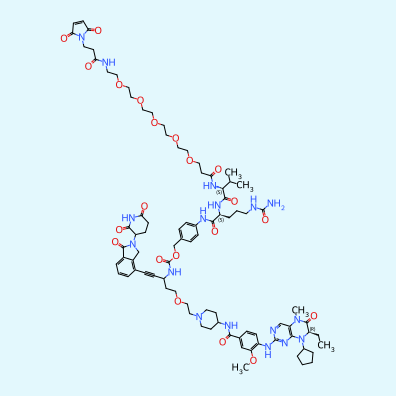 CC[C@@H]1C(=O)N(C)c2cnc(Nc3ccc(C(=O)NC4CCN(CCOCCC(C#Cc5cccc6c5CN(C5CCC(=O)NC5=O)C6=O)NC(=O)OCc5ccc(NC(=O)[C@H](CCCNC(N)=O)NC(=O)[C@@H](NC(=O)CCOCCOCCOCCOCCOCCNC(=O)CCN6C(=O)C=CC6=O)C(C)C)cc5)CC4)cc3OC)nc2N1C1CCCC1